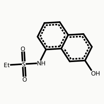 CCS(=O)(=O)Nc1cccc2ccc(O)cc12